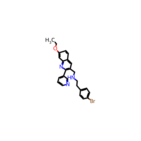 CCOc1ccc2cc(CNCCc3ccc(Br)cc3)c(-c3cccnc3)nc2c1